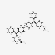 COc1ccc(N(c2ccccc2)c2ccc(-c3ccc(N(c4ccccc4)c4cccc(C)c4)cc3)cc2)cc1